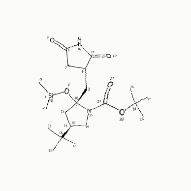 C[SiH](C)O[C@@]1(CC2CC(=O)NC2=O)C[C@H](C(C)(C)C)CN1C(=O)OC(C)(C)C